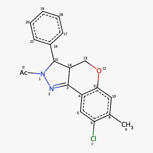 CC(=O)N1N=C2c3cc(Cl)c(C)cc3OCC2C1c1ccccc1